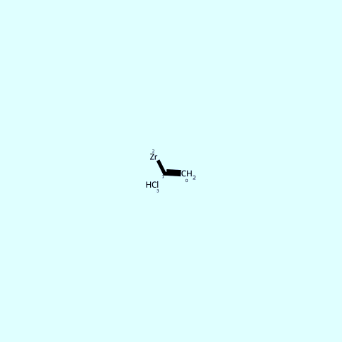 C=[CH][Zr].Cl